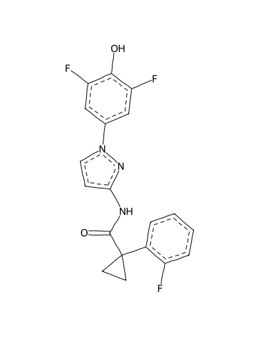 O=C(Nc1ccn(-c2cc(F)c(O)c(F)c2)n1)C1(c2ccccc2F)CC1